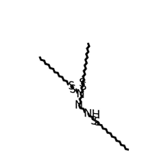 CCCCCCCCCCCCCCSSCCNCCCN(C)CCCN(CCSSCCCCCCCCCCCCCC)CCSSCCCCCCCCCCCCCC